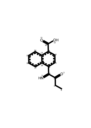 CCC(=O)C(=N)c1ccc(C(=O)O)c2ccccc12